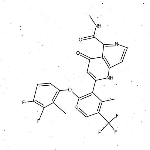 CNC(=O)c1nccc2[nH]c(-c3c(Oc4ccc(F)c(F)c4C)ncc(C(F)(F)F)c3C)cc(=O)c12